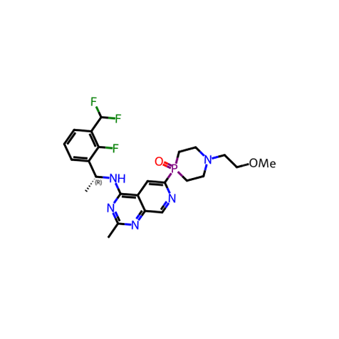 COCCN1CCP(=O)(c2cc3c(N[C@H](C)c4cccc(C(F)F)c4F)nc(C)nc3cn2)CC1